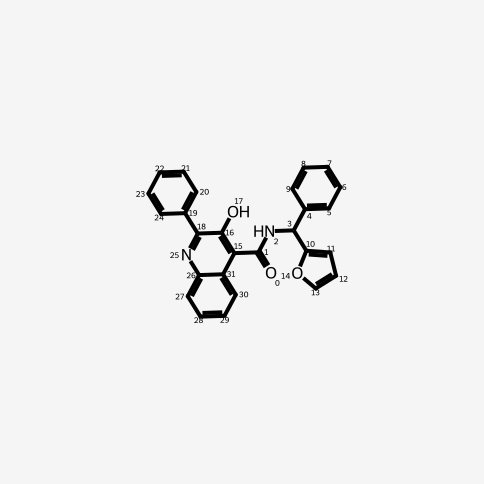 O=C(NC(c1ccccc1)c1ccco1)c1c(O)c(-c2ccccc2)nc2ccccc12